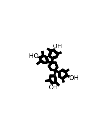 Cc1cc(C2(c3cc(C)c(O)c(C)c3)CCC(c3cc(C)c(O)c(C)c3)(c3cc(C)c(O)c(C)c3)CC2)cc(C)c1O